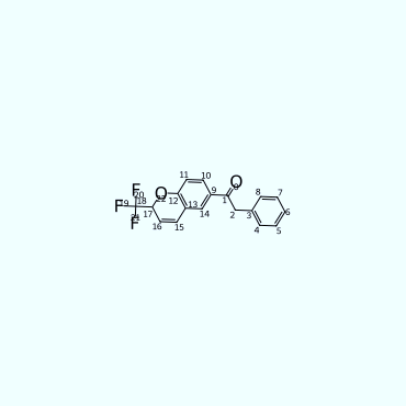 O=C(Cc1ccccc1)c1ccc2c(c1)C=CC(C(F)(F)F)O2